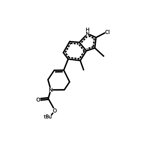 Cc1c(C2=CCN(C(=O)OC(C)(C)C)CC2)ccc2[nH]c(Cl)c(C)c12